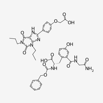 CCCn1c(=O)c2[nH]c(-c3ccc(OCC(=O)O)cc3)nc2n(CCC)c1=O.NC(=O)CNC(=O)c1cc(O)ccc1C[C@H](NC(=O)OCc1ccccc1)C(=O)O